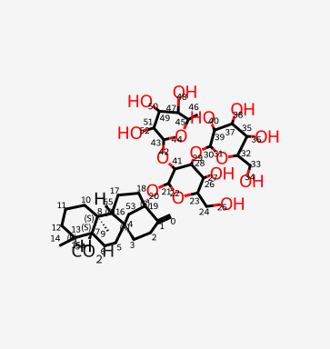 C=C1CC[C@@]23CC[C@H]4[C@@](C)(CCC[C@@]4(C)C(=O)O)[C@@H]2CC[C@]1(OC1OC(CO)C(O)C(OC2OC(CO)C(O)C(O)C2O)C1OC1OC(C)C(O)C(O)C1O)C3